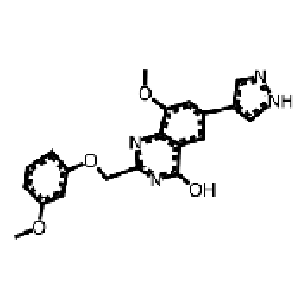 COc1cccc(OCc2nc(O)c3cc(-c4cn[nH]c4)cc(OC)c3n2)c1